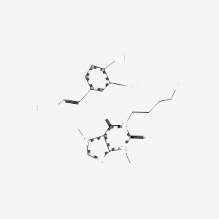 CC(=O)CCCCn1c(=O)c2c(ncn2C)n(C)c1=O.O=C(O)C=Cc1ccc(O)c(O)c1